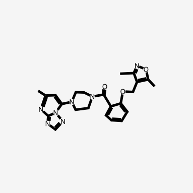 Cc1cc(N2CCN(C(=O)c3ccccc3OCc3c(C)noc3C)CC2)n2ncnc2n1